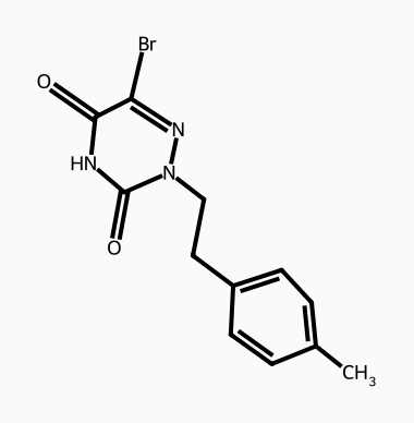 Cc1ccc(CCn2nc(Br)c(=O)[nH]c2=O)cc1